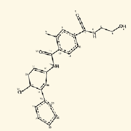 Cc1cc(C(=O)NCCO)ccc1C(=O)NC1=CCC(Cl)C(c2ccccn2)=C1